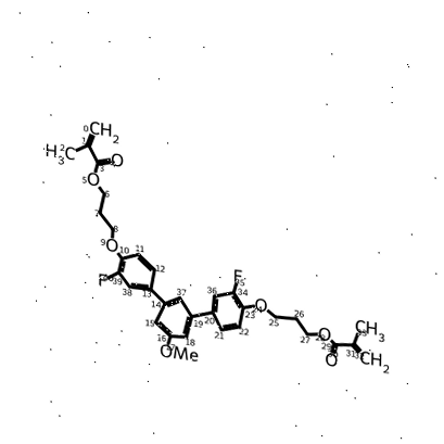 C=C(C)C(=O)OCCCOc1ccc(-c2cc(OC)cc(-c3ccc(OCCCOC(=O)C(=C)C)c(F)c3)c2)cc1F